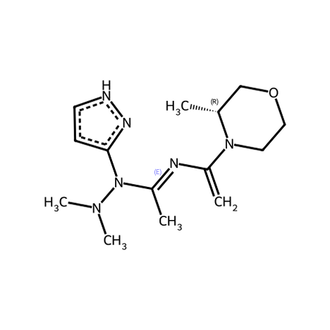 C=C(/N=C(\C)N(c1cc[nH]n1)N(C)C)N1CCOC[C@H]1C